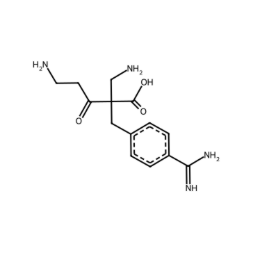 N=C(N)c1ccc(CC(CN)(C(=O)O)C(=O)CCN)cc1